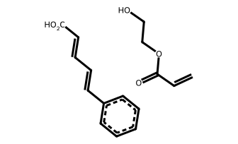 C=CC(=O)OCCO.O=C(O)C=CC=Cc1ccccc1